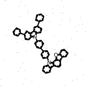 c1ccc(-c2ccc3c(c2)c2cc(-c4ccccc4)ccc2n3-c2ccc(-c3ccc(-n4c5ccccc5c5ccc6c7ccccc7oc6c54)cc3)cc2)cc1